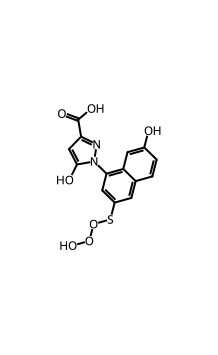 O=C(O)c1cc(O)n(-c2cc(SOOO)cc3ccc(O)cc23)n1